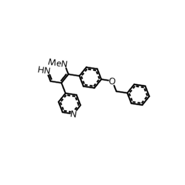 CN/C(=C(\C=N)c1ccncc1)c1ccc(OCc2ccccc2)cc1